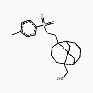 Cc1ccc(S(=O)(=O)OCC23CCCC(CC=O)(CCC2)C2CCCC3CCC2)cc1